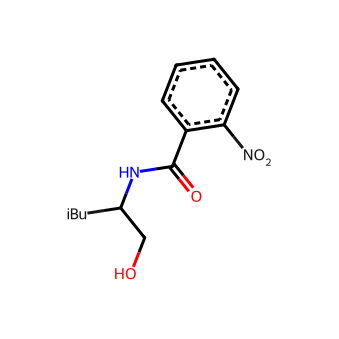 CCC(C)C(CO)NC(=O)c1ccccc1[N+](=O)[O-]